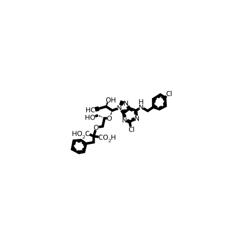 C#C[C@@H](O)[C@@H](O[C@@H](CO)COC(Cc1ccccc1)(C(=O)O)C(=O)O)n1cnc2c(NCc3ccc(Cl)cc3)nc(Cl)nc21